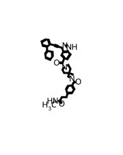 CNC(=O)CCc1ccc(C(=O)N2CC3(CCN(C(=O)c4ccc5[nH]nc(C#Cc6ccccc6-c6ccccc6)c5c4)CC3)C2)cc1